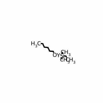 CCCCCC[O][Y][Si](C)(C)CC